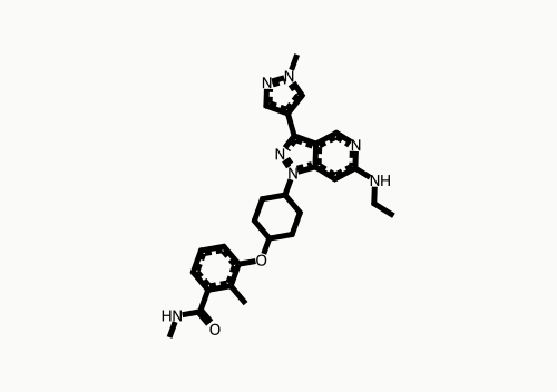 CCNc1cc2c(cn1)c(-c1cnn(C)c1)nn2C1CCC(Oc2cccc(C(=O)NC)c2C)CC1